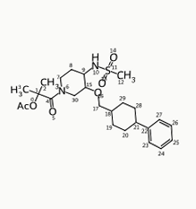 CC(=O)OC(C)(C)C(=O)N1CCC(NS(C)(=O)=O)C(OCC2CCC(c3ccccc3)CC2)C1